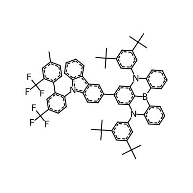 Cc1ccc(-c2cc(C(F)(F)F)ccc2-n2c3ccccc3c3cc(-c4cc5c6c(c4)N(c4cc(C(C)(C)C)cc(C(C)(C)C)c4)c4ccccc4B6c4ccccc4N5c4cc(C(C)(C)C)cc(C(C)(C)C)c4)ccc32)c(C(F)(F)F)c1